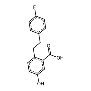 O=C(O)c1cc(O)ccc1CCc1ccc(F)cc1